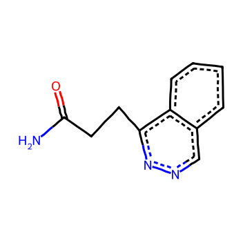 NC(=O)CCc1nncc2ccccc12